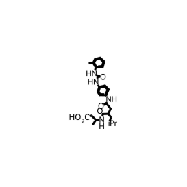 Cc1ccccc1NC(=O)Nc1ccc(NC(=O)CC(CC(C)C)C(=O)NC(C)CC(=O)O)cc1